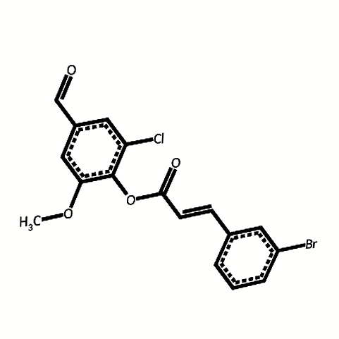 COc1cc(C=O)cc(Cl)c1OC(=O)/C=C/c1cccc(Br)c1